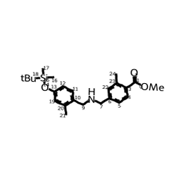 COC(=O)c1ccc(CNCc2ccc(O[Si](C)(C)C(C)(C)C)cc2C)cc1C